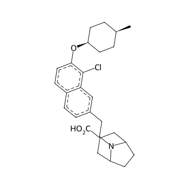 C[C@H]1CC[C@@H](Oc2ccc3ccc(CCN4C5CCC4CC(C(=O)O)C5)cc3c2Cl)CC1